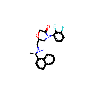 C[C@@H](NCC1CN(c2cccc(F)c2F)C(=O)CO1)c1cccc2ccccc12